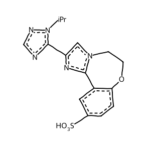 CC(C)n1ncnc1-c1cn2c(n1)-c1cc(S(=O)(=O)O)ccc1OCC2